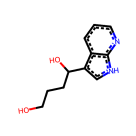 OCCCC(O)c1c[nH]c2ncccc12